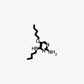 CCCCCOc1cnc(N)nc1NCCCC